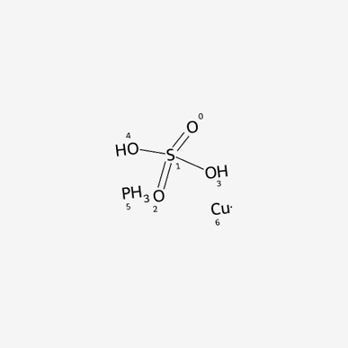 O=S(=O)(O)O.P.[Cu]